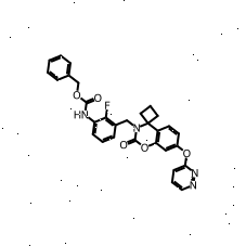 O=C(Nc1cccc(CN2C(=O)Oc3cc(Oc4cccnn4)ccc3C23CCC3)c1F)OCc1ccccc1